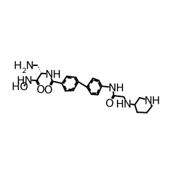 NC[C@H](NC(=O)c1ccc(-c2ccc(NC(=O)CNC3CCCNC3)cc2)cc1)C(=O)NO